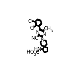 Cc1nc(N2CCC3(CCCC3NC(=O)O)CC2)c(C#N)nc1-c1cccc(Cl)c1Cl